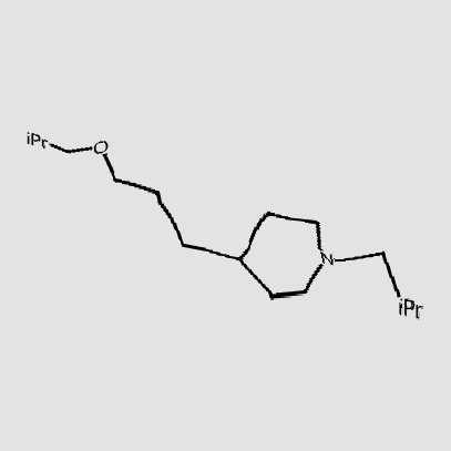 CC(C)CN1CCC(CCCOC(C)C)CC1